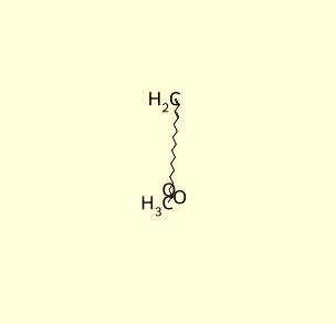 C=CC=CCCCCCCCCCCOC(C)=O